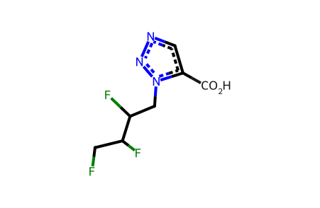 O=C(O)c1cnnn1CC(F)C(F)CF